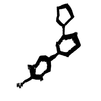 Nc1ncc(-c2ccnc(N3CCCC3)n2)cn1